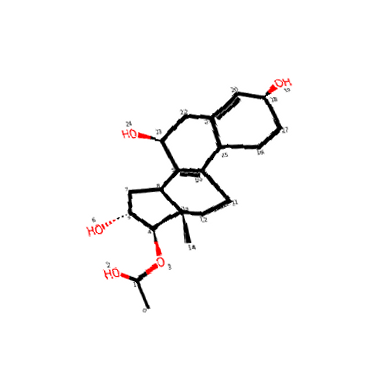 CC(O)O[C@H]1[C@H](O)CC2C3=C(CC[C@@]21C)C1CC[C@H](O)C=C1C[C@@H]3O